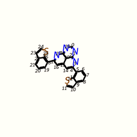 C1=NC2=NC(c3cccc4ccsc34)=CC3=CC(c4cccc5ccsc45)=NC(=N1)C32